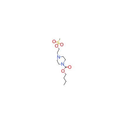 CCCCOC(=O)N1CCN(CCOS(C)(=O)=O)CC1